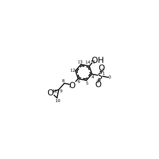 CS(=O)(=O)c1cc(OCC2CO2)ccc1O